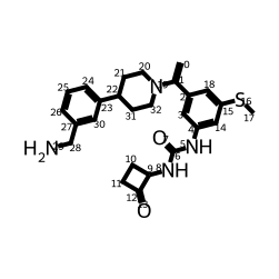 C=C(c1cc(NC(=O)NC2CCC2=O)cc(SC)c1)N1CCC(c2cccc(CN)c2)CC1